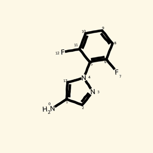 Nc1cnn(-c2c(F)cccc2F)c1